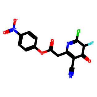 N#CC1=C(CC(=O)Oc2ccc([N+](=O)[O-])cc2)N=C(Cl)C(F)C1=O